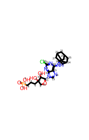 O=P(O)(O)CCCC1(O)CO[C@@H](n2cnc3c(NC45CC6CC(CC(C6)C4)C5)nc(Cl)nc32)C1O